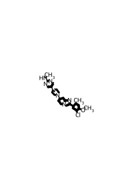 CNc1ncc(N2CCN(c3ccn4cc(-c5cc(Cl)c(OC)cc5C)nc4c3)CC2)cn1